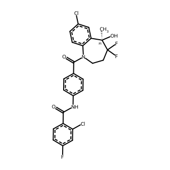 C[C@@]1(O)c2cc(Cl)ccc2N(C(=O)c2ccc(NC(=O)c3ccc(F)cc3Cl)cc2)CCC1(F)F